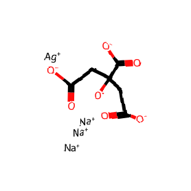 O=C([O-])CC([O-])(CC(=O)[O-])C(=O)[O-].[Ag+].[Na+].[Na+].[Na+]